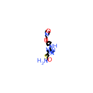 NC(=O)c1cc(-c2cnc(Nc3ccc(OCCN4CCOCC4)cc3)c3ncnn23)cs1